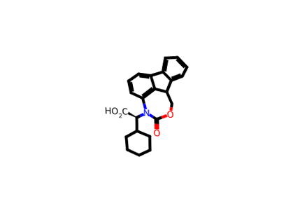 O=C(O)[C@H](C1CCCCC1)N1C(=O)OCC2c3ccccc3-c3cccc1c32